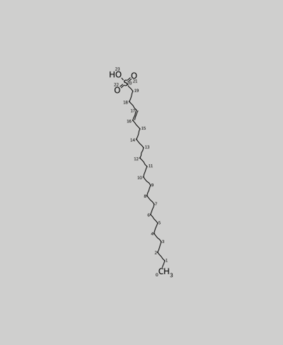 CCCCCCCCCCCCCCCC/C=C/CCS(=O)(=O)O